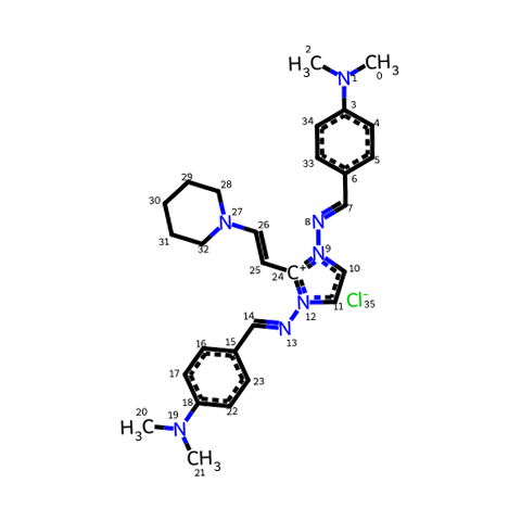 CN(C)c1ccc(C=Nn2ccn(N=Cc3ccc(N(C)C)cc3)[c+]2C=CN2CCCCC2)cc1.[Cl-]